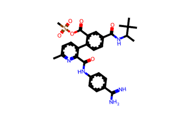 Cc1ccc(-c2ccc(C(=O)NC(C)C(C)(C)C)cc2C(=O)OS(C)(=O)=O)c(C(=O)Nc2ccc(C(=N)N)cc2)n1